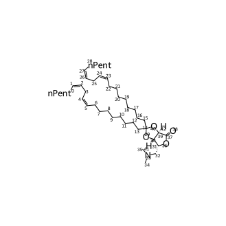 CCCCC/C=C\C/C=C\CCCCCCCCC1(CCCCCCCC/C=C\C/C=C\CCCCC)O[C@H]2[C@@H](CN(C)C)OC(=O)[C@@H]2O1